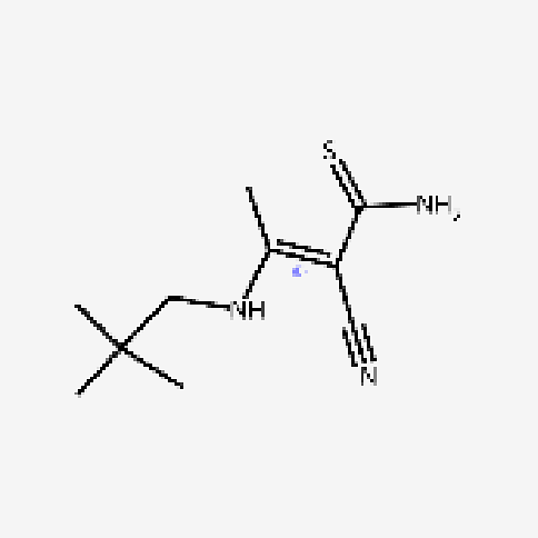 C/C(NCC(C)(C)C)=C(/C#N)C(N)=S